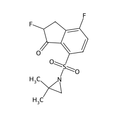 CC1(C)CN1S(=O)(=O)c1ccc(F)c2c1C(=O)C(F)C2